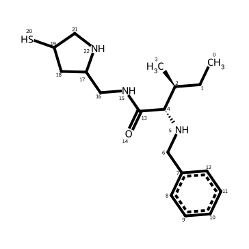 CC[C@H](C)[C@H](NCc1ccccc1)C(=O)NCC1CC(S)CN1